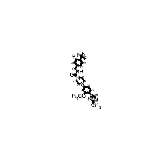 COc1cc(N2CCN(C(=O)NCc3ccc(C(F)(F)F)c(F)c3)CC2)ccc1-n1cnc(C)n1